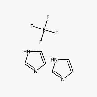 F[B-](F)(F)F.c1c[nH]cn1.c1c[nH]cn1